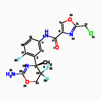 C[C@]1(c2cc(NC(=O)c3coc(CCl)n3)ccc2F)N=C(N)OCC1(F)F